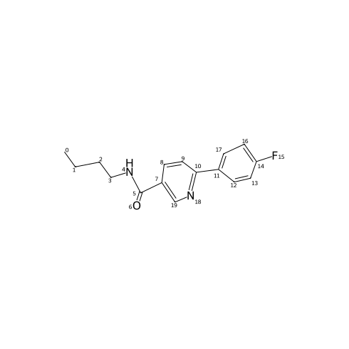 CCCCNC(=O)c1ccc(-c2ccc(F)cc2)nc1